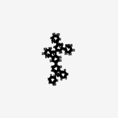 c1ccc(-n2c3ccccc3c3cc(-c4ccc5c(c4)c4ncccc4n5-c4cc(-c5ccccn5)nc(-c5ccccn5)c4)ccc32)cc1